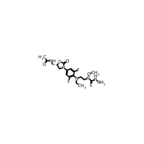 CCN(CCN(OC)C(=S)NN)c1c(F)cc(N2C[C@H](CNC(C)=O)OC2=O)cc1F